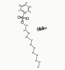 CCCCCCCCCCCCOS(=O)(=O)c1ccccc1.[Na].[Na].[Na]